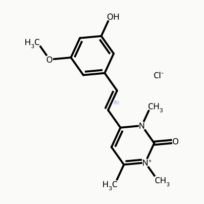 COc1cc(O)cc(/C=C/c2cc(C)[n+](C)c(=O)n2C)c1.[Cl-]